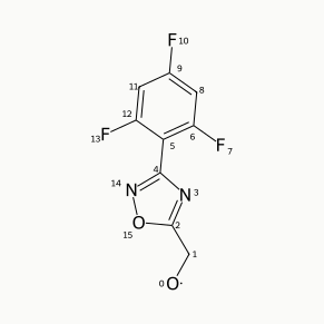 [O]Cc1nc(-c2c(F)cc(F)cc2F)no1